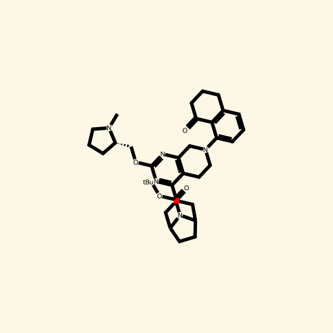 CN1CCC[C@H]1COc1nc2c(c(N3CC4CCC(C3)N4C(=O)OC(C)(C)C)n1)CCN(c1cccc3c1C(=O)CCC3)C2